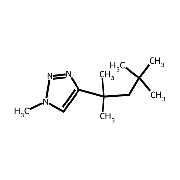 Cn1cc(C(C)(C)CC(C)(C)C)nn1